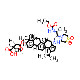 C=C(C)[C@@H]1CC[C@]2(NC[C@H]([C@@H](C)NC(=O)OCC)N3CCS(=O)(=O)CC3)CC[C@]3(C)[C@H](CC[C@@H]4[C@@]5(C)CC[C@H](OC(=O)CC(C)(C)C(=O)O)C(C)(C)[C@@H]5CC[C@]43C)[C@@H]12